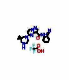 N#Cc1ccccc1NC(=O)c1cnn2ccc(N3CCNCC4(CC4)C3)nc12.O=C(O)C(F)(F)F